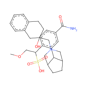 COCC(c1ccc(C(N)=O)cc1C1C2CCC1CN(CC1(O)CCc3ccccc3C1)C2)S(=O)(=O)O